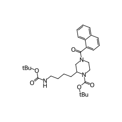 CC(C)(C)OC(=O)NCCCCC1CN(C(=O)c2cccc3ccccc23)CCN1C(=O)OC(C)(C)C